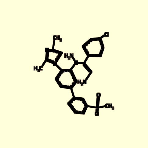 Cc1cn(-c2ccc(-c3cccc(S(C)(=O)=O)c3)cc2N(N)/C(=C\N)c2ccc(Cl)cc2)c(C)n1